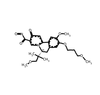 COCCCOc1cc2c(cc1OC)-c1cc(=O)c(C(=O)N=O)cn1[C@@H](C(C)(C)COC)C2